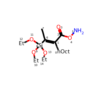 CCCCCCCCC(C(=O)ON)=C(C)[Si](OCC)(OCC)OCC